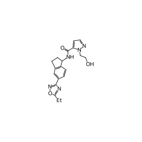 CCc1nc(-c2ccc3c(c2)CCC3NC(=O)c2ccnn2CCO)no1